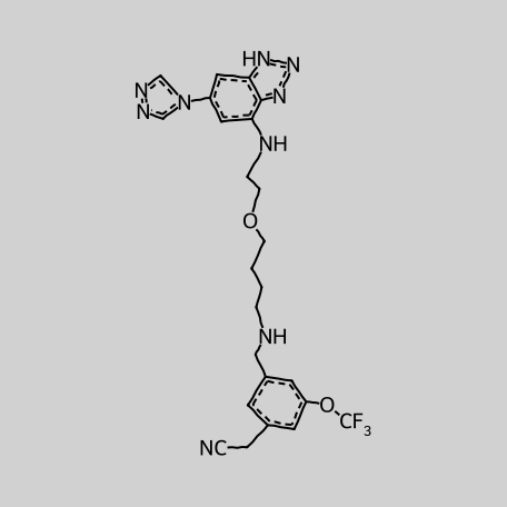 N#CCc1cc(CNCCCCOCCNc2cc(-n3cnnc3)cc3[nH]nnc23)cc(OC(F)(F)F)c1